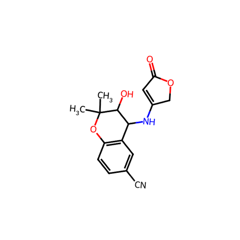 CC1(C)Oc2ccc(C#N)cc2C(NC2=CC(=O)OC2)C1O